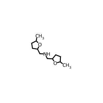 CC1CCC(CNCC2CCC(C)O2)O1